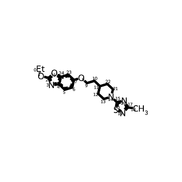 CCOc1nc2ccc(OCCC3CCN(c4nc(C)ns4)CC3)cc2o1